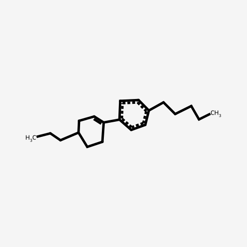 CCCCCc1ccc(C2=CCC(CCC)CC2)cc1